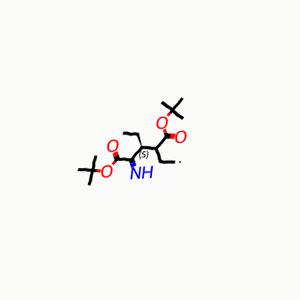 [CH2]CC(C(=O)OC(C)(C)C)[C@H](CC)C(=N)C(=O)OC(C)(C)C